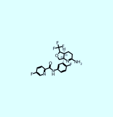 NC1=N[C@@]2(c3cc(NC(=O)c4ccc(F)cn4)ccc3F)COC(C(F)(F)F)[C@H]2CC1